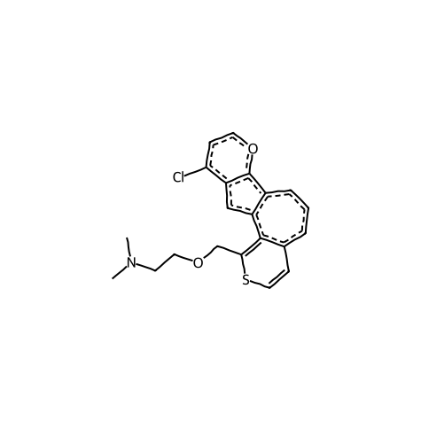 CN(C)CCOCC1=c2c(cccc3c2cc2c(Cl)ccoc23)C=CS1